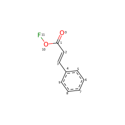 O=C(C=Cc1ccccc1)OF